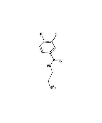 NCCNC(=O)c1ccc(F)c(F)c1